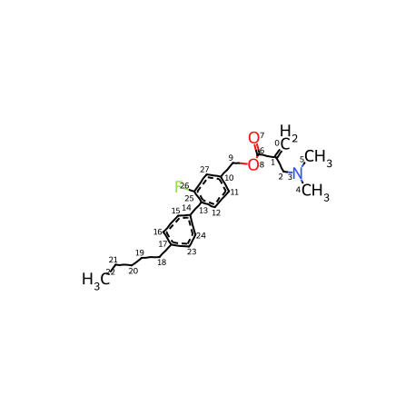 C=C(CN(C)C)C(=O)OCc1ccc(-c2ccc(CCCCC)cc2)c(F)c1